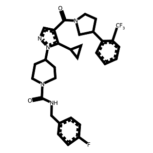 O=C(NCc1ccc(F)cc1)N1CCC(n2ncc(C(=O)N3CCC(c4ccccc4C(F)(F)F)C3)c2C2CC2)CC1